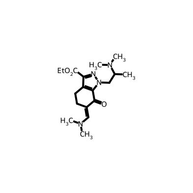 CCOC(=O)c1nn(CC(C)N(C)C)c2c1CCC(=CN(C)C)C2=O